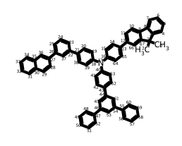 CC1(C)c2ccccc2-c2ccc(-c3ccc(N(c4ccc(-c5cccc(-c6ccc7ccccc7c6)c5)cc4)c4ccc(-c5cc(-c6ccccc6)cc(-c6ccccc6)c5)cc4)cc3)cc21